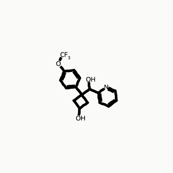 OC1CC(c2ccc(OC(F)(F)F)cc2)(C(O)c2ccccn2)C1